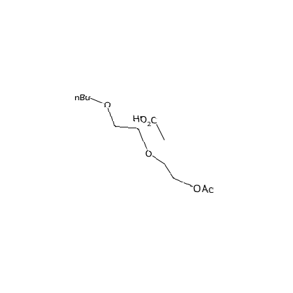 CC(=O)O.CCCCOCCOCCOC(C)=O